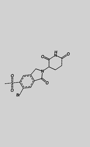 CS(=O)(=O)c1cc2c(cc1Br)C(=O)N(C1CCC(=O)NC1=O)C2